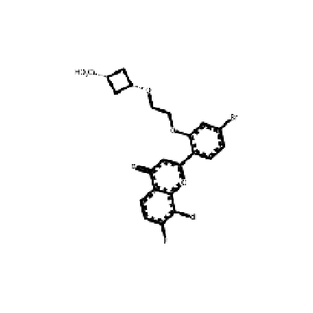 O=c1cc(-c2ccc(Br)cc2OCCO[C@H]2C[C@@H](C(=O)O)C2)oc2c(Cl)c(F)ccc12